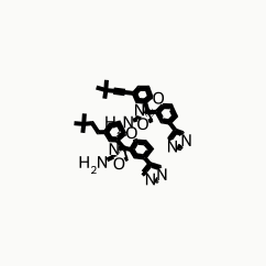 CC(C)(C)C#Cc1ccc2c(c1)[C@]1(COC(N)=N1)c1cc(-c3cncnc3)ccc1O2.CC(C)(C)CCc1ccc2c(c1)[C@]1(COC(N)=N1)c1cc(-c3cncnc3)ccc1O2